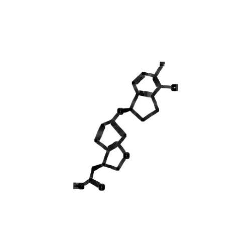 O=C(O)C[C@@H]1COc2cc(O[C@@H]3CCc4c3ccc(F)c4Cl)ccc21